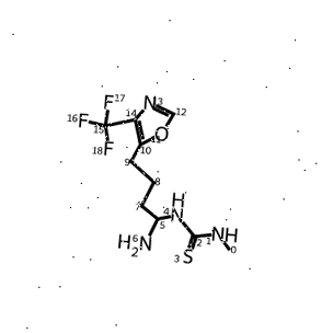 CNC(=S)NC(N)CCCc1ocnc1C(F)(F)F